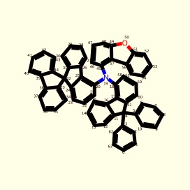 c1ccc(C2(c3ccccc3)c3ccccc3-c3c(N(c4cccc5c4-c4ccccc4C54c5ccccc5-c5ccccc54)c4cccc5oc6ccccc6c45)cccc32)cc1